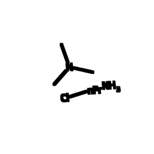 CCCCl.CN(C)C.N